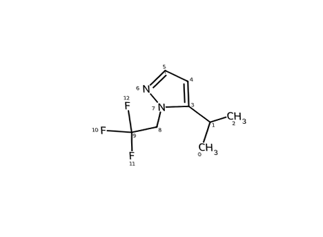 CC(C)c1c[c]nn1CC(F)(F)F